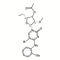 CC[C@H]1O[C@@H](n2cc(Br)c(Nc3ccccc3O)nc2=O)[C@@H](OC)C1OC(C)=O